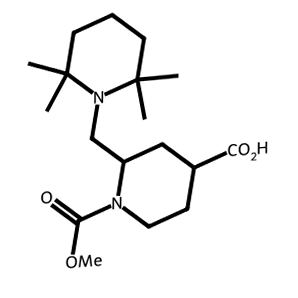 COC(=O)N1CCC(C(=O)O)CC1CN1C(C)(C)CCCC1(C)C